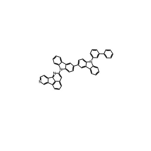 c1ccc(-c2cccc(-n3c4ccccc4c4cc(-c5ccc6c(c5)c5ccccc5n6-c5cc6cccc7c6c(n5)-c5ccncc5-7)ccc43)c2)cc1